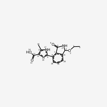 CCOC1NC(=O)c2c(-c3nc(C(=O)O)c(C)[nH]3)cccc21